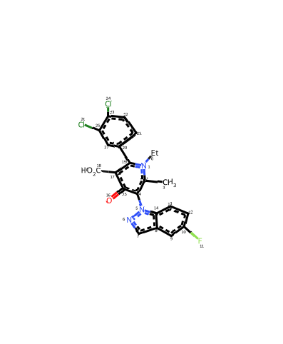 CCn1c(C)c(-n2ncc3cc(F)ccc32)c(=O)c(C(=O)O)c1-c1ccc(Cl)c(Cl)c1